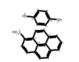 O=S(=O)(O)c1ccc2ccc3cccc4ccc1c2c34.Oc1ccc(S)cc1